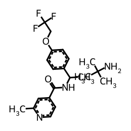 CC(C)(C)N.Cc1cc(C(=O)NC(C)c2ccc(OCC(F)(F)F)cc2)ccn1